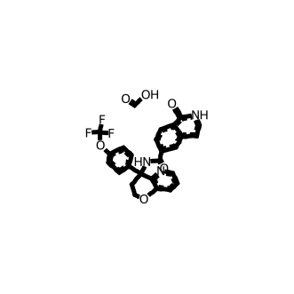 O=C(NC1(c2ccc(OC(F)(F)F)cc2)CCOc2cccnc21)c1ccc2c(=O)[nH]ccc2c1.O=CO